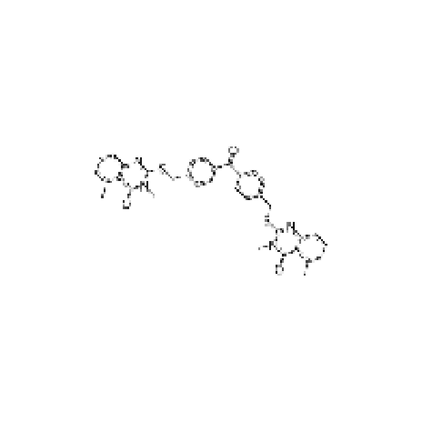 Cc1cccc2nc(SCc3ccc(C(=O)c4ccc(CSc5nc6cccc(C)c6c(=O)n5C)cc4)cc3)n(C)c(=O)c12